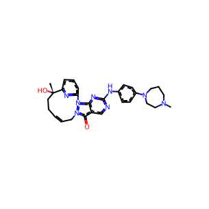 CN1CCCN(c2ccc(Nc3ncc4c(=O)n5n(c4n3)-c3cccc(n3)[C@@](C)(O)CC/C=C\C5)cc2)CC1